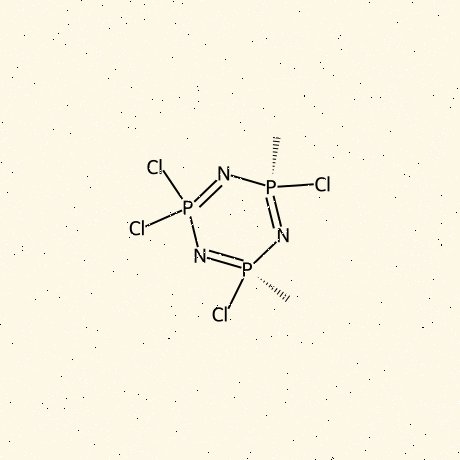 C[P@]1(Cl)=NP(Cl)(Cl)=N[P@@](C)(Cl)=N1